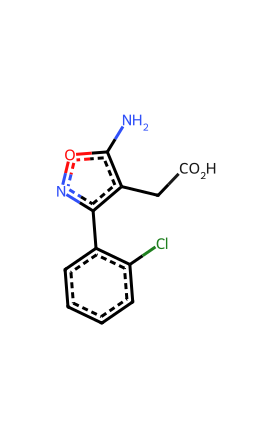 Nc1onc(-c2ccccc2Cl)c1CC(=O)O